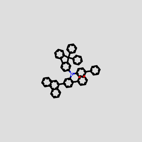 c1ccc(-c2ccc(N(c3ccc4c(c3)C(c3ccccc3)(c3ccccc3)c3ccccc3-4)c3cc(-c4cc5ccccc5c5ccccc45)ccc3-c3ccccc3)cc2)cc1